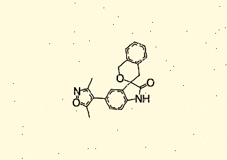 Cc1noc(C)c1-c1ccc2c(c1)C1(Cc3ccccc3CO1)C(=O)N2